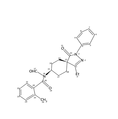 CCC1=NN(c2ccccc2)C(=O)[C@]12CC[C@H](N(C=O)C(=O)c1ccccc1C)CC2